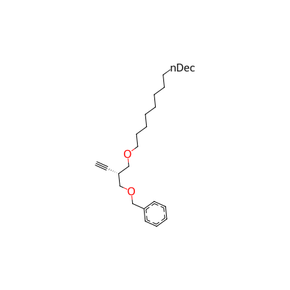 C#C[C@H](COCCCCCCCCCCCCCCCCCC)COCc1ccccc1